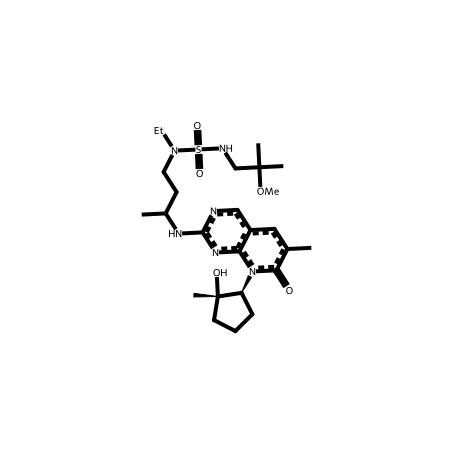 CCN(CCC(C)Nc1ncc2cc(C)c(=O)n([C@H]3CCC[C@]3(C)O)c2n1)S(=O)(=O)NCC(C)(C)OC